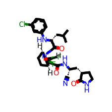 CC(C)C[C@@H](Nc1cccc(Cl)c1)C(=O)N1[C@@H]2CC[C@H]([C@H]1C(=O)N[C@@H](C#N)C[C@@H]1CCNC1=O)C(F)(F)C2